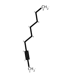 [CH2]C#CCCCCC[CH2]